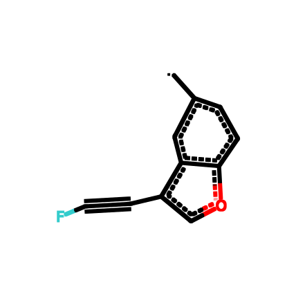 [CH2]c1ccc2occ(C#CF)c2c1